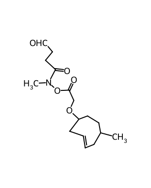 CC1C/C=C/CC(OCC(=O)ON(C)C(=O)CCC=O)CC1